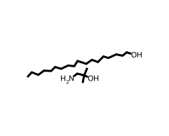 CC(C)(O)CN.CCCCCCCCCCCCCCCCCCO